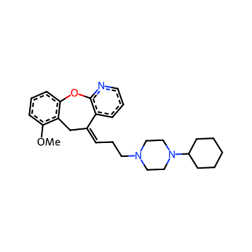 COc1cccc2c1C/C(=C/CCN1CCN(C3CCCCC3)CC1)c1cccnc1O2